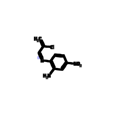 C=C(Cl)/C=N\c1ccc([N+](=O)[O-])cc1N